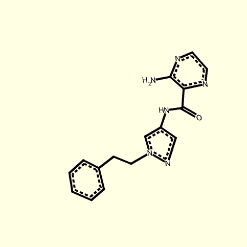 Nc1nccnc1C(=O)Nc1cnn(CCc2ccccc2)c1